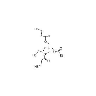 CCC(=O)OCC(CCCS)(COC(=O)CCS)COC(=O)CCS